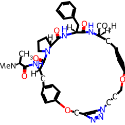 CN[C@@H](C)C(=O)N[C@H]1Cc2ccc(cc2)OCc2cn(nn2)CCCOc2ccc(cc2)C[C@@H](C(=O)O)NC(=O)[C@@H](Cc2ccccc2)NC(=O)[C@H]2CCCN2C1=O